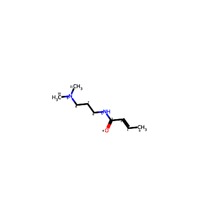 CC=CC(=O)NCCCN(C)C